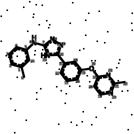 Cc1cccc(Nc2nnc(-c3cccc(Oc4ccnc(C)n4)c3)[nH]2)c1